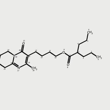 CCCC(CCC)C(=O)OCCCCc1c(C)nc2n(c1=O)CCCC2